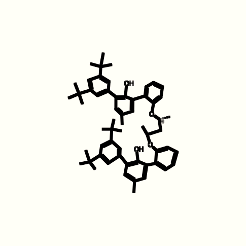 Cc1cc(-c2cc(C(C)(C)C)cc(C(C)(C)C)c2)c(O)c(-c2ccccc2OC(C)C[C@@H](C)Oc2ccccc2-c2cc(C)cc(-c3cc(C(C)(C)C)cc(C(C)(C)C)c3)c2O)c1